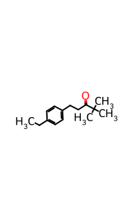 CCc1ccc(CCC(=O)C(C)(C)C)cc1